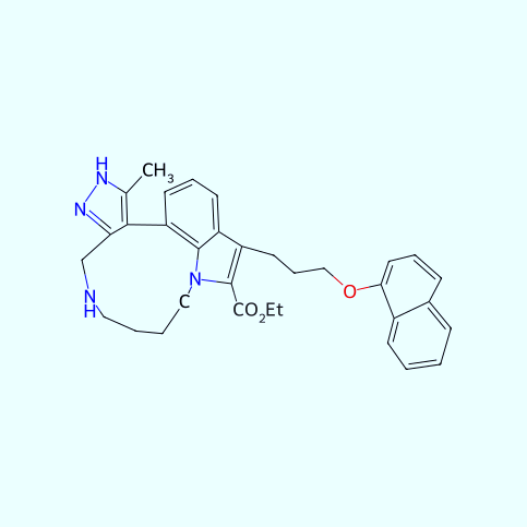 CCOC(=O)c1c(CCCOc2cccc3ccccc23)c2cccc3c2n1CCCCNCc1n[nH]c(C)c1-3